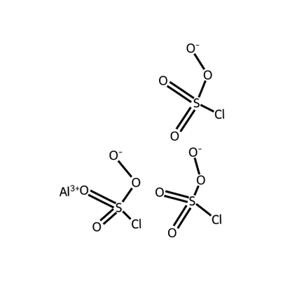 O=S(=O)(Cl)O[O-].O=S(=O)(Cl)O[O-].O=S(=O)(Cl)O[O-].[Al+3]